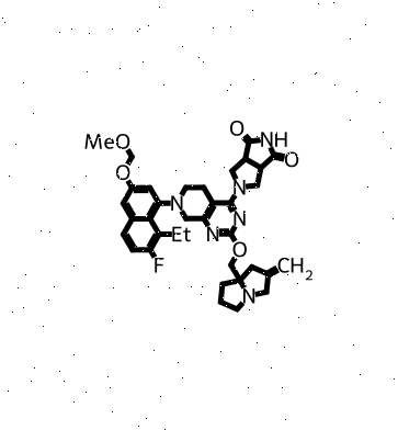 C=C1CN2CCCC2(COc2nc3c(c(N4CC5C(=O)NC(=O)C5C4)n2)CCN(c2cc(OCOC)cc4ccc(F)c(CC)c24)C3)C1